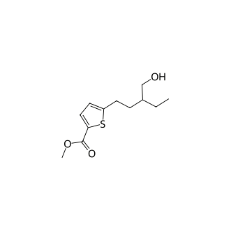 CCC(CO)CCc1ccc(C(=O)OC)s1